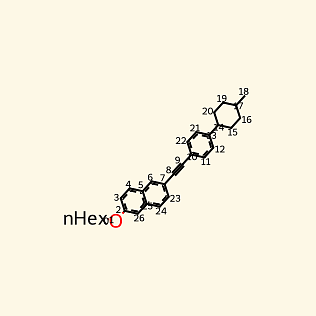 CCCCCCOc1ccc2cc(C#Cc3ccc(C4CCC(C)CC4)cc3)ccc2c1